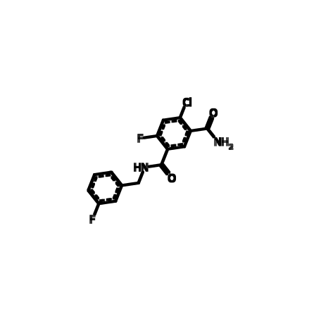 NC(=O)c1cc(C(=O)NCc2cccc(F)c2)c(F)cc1Cl